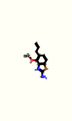 C=CCc1ccc2sc(N)nc2c1OC=O